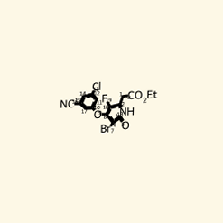 CCOC(=O)Cc1[nH]c(=O)c(Br)c(Oc2cc(Cl)cc(C#N)c2)c1F